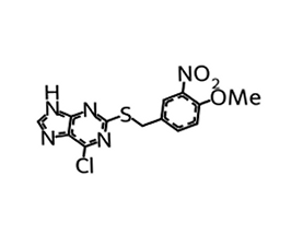 COc1ccc(CSc2nc(Cl)c3nc[nH]c3n2)cc1[N+](=O)[O-]